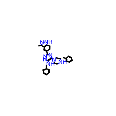 Cc1n[nH]c2c1C=C(c1nnc(NCc3ccccc3)c(N3CCN[C@@H](Cc4ccccc4)C3)n1)CC2